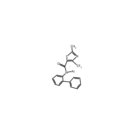 CC(=O)N(C(=O)c1sc(C)nc1C(F)(F)F)c1ccccc1-c1ccccc1